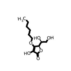 CCCCCCOC1=C(O)C(=O)O[C@@H]1[C@@H](O)CO